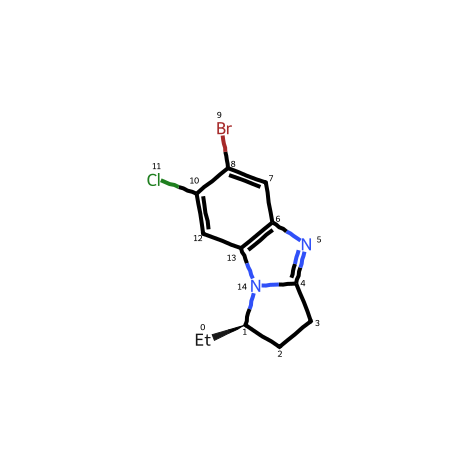 CC[C@@H]1CCc2nc3cc(Br)c(Cl)cc3n21